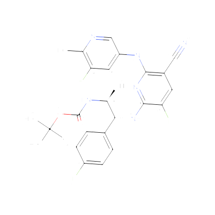 Cc1ncc(Nc2nc(N[C@H](c3ccc(F)cc3)[C@H](C)NC(=O)OC(C)(C)C)c(F)cc2C#N)cc1F